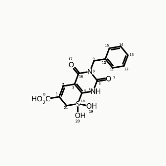 O=C(O)C1=Cc2c([nH]c(=O)n(Cc3ccccc3)c2=O)S(O)(O)C1